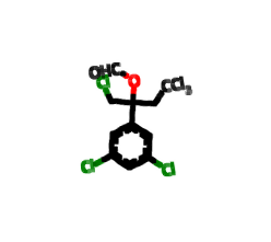 O=COC(CCl)(CC(Cl)(Cl)Cl)c1cc(Cl)cc(Cl)c1